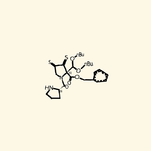 CCCCOC(OCCCC)[C@]1(C(=O)OCc2ccccc2)C(=S)C(=S)CN1C(=O)[C@@H]1CCCN1